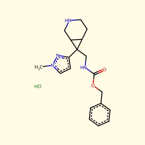 Cl.Cn1ccc(C2(CNC(=O)OCc3ccccc3)C3CCNCC32)n1